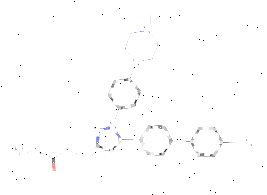 CNC(=O)CCc1cc(-c2ccc(-c3ccc(C#N)cc3)cc2)n(-c2ccc(N3CCNCC3)cc2)n1